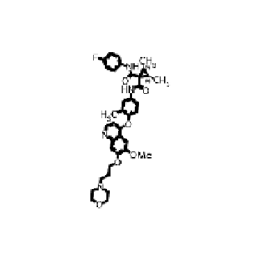 COc1cc2c(Oc3ccc(NC(=O)C4(C(=O)Nc5ccc(F)cc5)[C@H](C)[C@H]4C)cc3C)ccnc2cc1OCCCN1CCOCC1